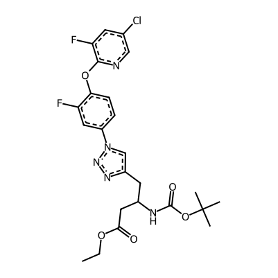 CCOC(=O)CC(Cc1cn(-c2ccc(Oc3ncc(Cl)cc3F)c(F)c2)nn1)NC(=O)OC(C)(C)C